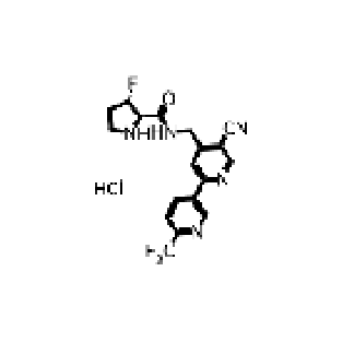 Cl.N#Cc1cnc(-c2ccc(C(F)(F)F)nc2)cc1CNC(=O)[C@H]1NCC[C@@H]1F